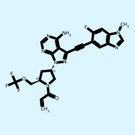 C=CC(=O)N1C[C@@H](n2nc(C#Cc3cc4ncn(C)c4cc3F)c3c(N)ncnc32)C[C@@H]1COC(F)(F)F